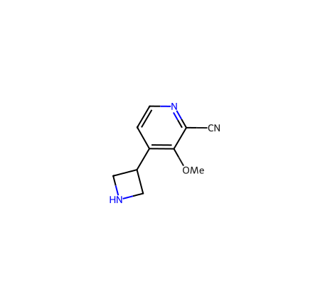 COc1c(C2CNC2)ccnc1C#N